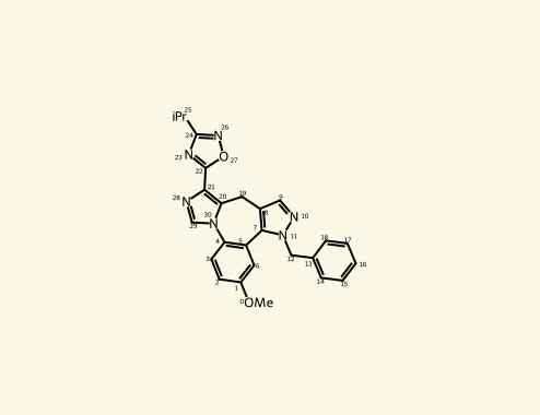 COc1ccc2c(c1)-c1c(cnn1Cc1ccccc1)Cc1c(-c3nc(C(C)C)no3)ncn1-2